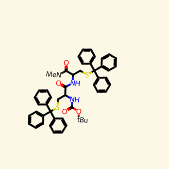 CNC(=O)C(CSC(c1ccccc1)(c1ccccc1)c1ccccc1)NC(=O)C(CSC(c1ccccc1)(c1ccccc1)c1ccccc1)NC(=O)OC(C)(C)C